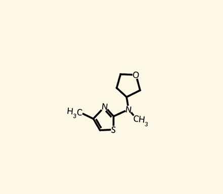 Cc1csc(N(C)C2CCOC2)n1